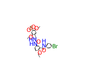 CCOc1cc(S(C)(=O)=O)c(OCC)cc1CNC(=O)Nc1ccc(OCC)c(C(=O)Nc2ccc(Br)cc2)c1